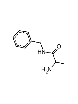 CC(N)C(=O)NCc1ccccc1